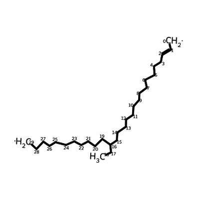 [CH2]C=CCCCCCCCCCCCCCC(CC)CCCCCCCCCC[CH2]